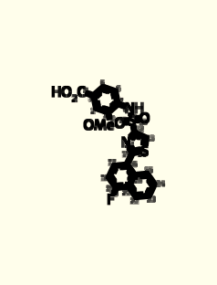 COc1cc(C(=O)O)ccc1NS(=O)(=O)c1csc(-c2ccc(F)c3ccccc23)n1